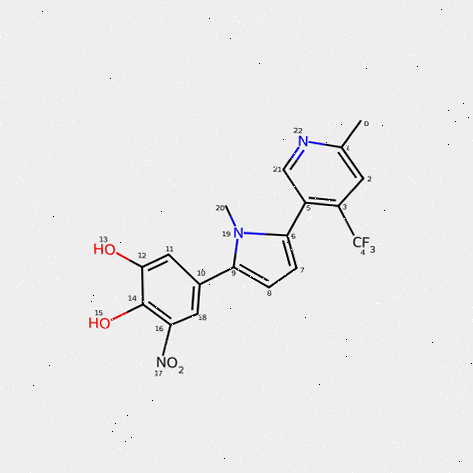 Cc1cc(C(F)(F)F)c(-c2ccc(-c3cc(O)c(O)c([N+](=O)[O-])c3)n2C)cn1